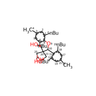 CCCCc1cc(C)cc(CCCC)c1OC(c1c(CCCC)cc(C)cc1CCCC)C(CO)(CO)CO